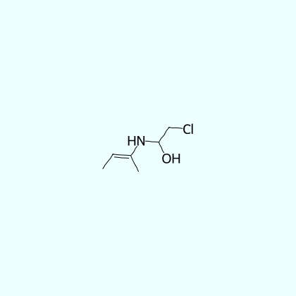 C/C=C(\C)NC(O)CCl